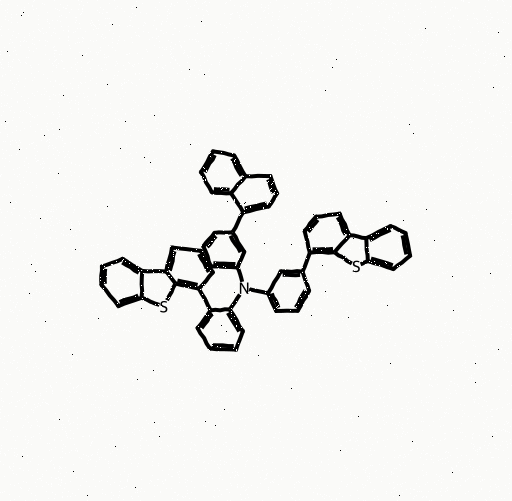 c1cc(-c2cccc3ccccc23)cc(N(c2cccc(-c3cccc4c3sc3ccccc34)c2)c2ccccc2-c2cccc3c2sc2ccccc23)c1